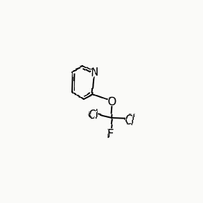 FC(Cl)(Cl)Oc1ccccn1